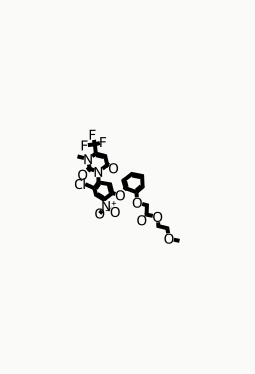 COCCOC(=O)COc1ccccc1Oc1cc(-n2c(=O)cc(C(F)(F)F)n(C)c2=O)c(Cl)cc1[N+](=O)[O-]